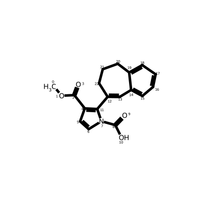 COC(=O)c1ccn(C(=O)O)c1C1=Cc2ccccc2CCC1